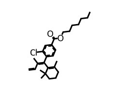 C=CC(C)=C(C1=C(C)CCCC1(C)C)c1ccc(C(=O)OCCCCCCC)cc1Cl